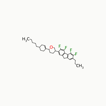 CCCCCC1CC=C(C2CCC(c3cc4c(c(F)c3F)-c3c(cc(CCC)c(F)c3F)C4)CO2)CC1